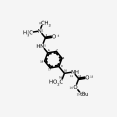 CN(C)C(=O)Nc1ccc(C(NC(=O)OC(C)(C)C)C(=O)O)cc1